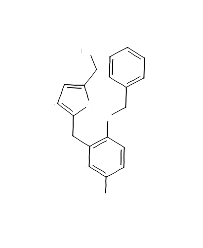 OCc1ccc(Cc2cc(Cl)ccc2OCc2ccccc2)o1